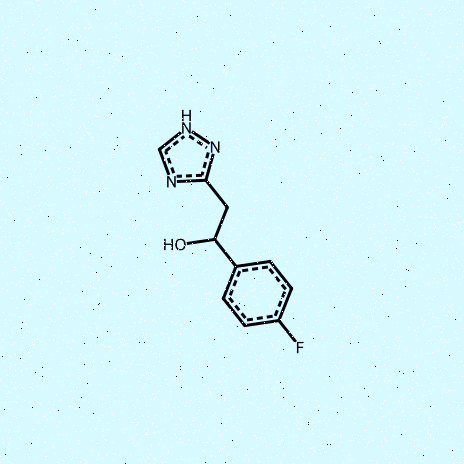 OC(Cc1nc[nH]n1)c1ccc(F)cc1